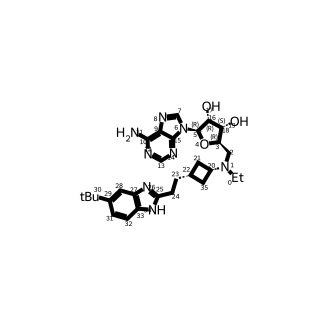 CCN(C[C@H]1O[C@@H](n2cnc3c(N)ncnc32)[C@H](O)[C@@H]1O)[C@H]1C[C@@H](CCc2nc3cc(C(C)(C)C)ccc3[nH]2)C1